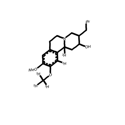 [2H]c1c(OC([2H])([2H])[2H])c(OC)cc2c1C1([2H])CC(O)C(CC(C)C)CN1CC2